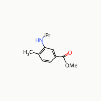 COC(=O)c1ccc(C)c(NC(C)C)c1